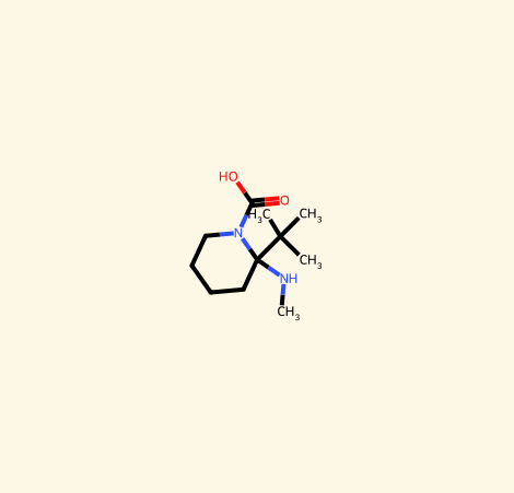 CNC1(C(C)(C)C)CCCCN1C(=O)O